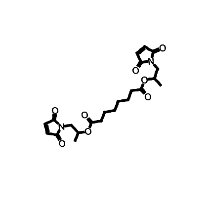 CC(CN1C(=O)C=CC1=O)OC(=O)CCCCCCC(=O)OC(C)CN1C(=O)C=CC1=O